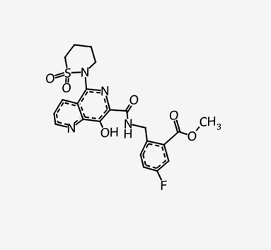 COC(=O)c1cc(F)ccc1CNC(=O)c1nc(N2CCCCS2(=O)=O)c2cccnc2c1O